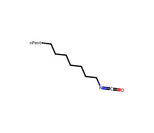 CCCCCCCCCCCCN=C=O